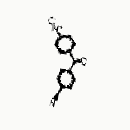 [C-]#[N+]c1ccc(C(=O)c2ccc(C#N)cc2)cc1